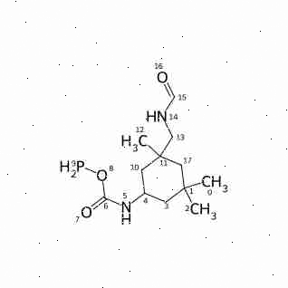 CC1(C)CC(NC(=O)OP)CC(C)(CNC=O)C1